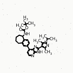 Cc1nn(C(C)C)c(C)c1-c1nc2c(-c3ccc4c(c3)CCCCC4NC(=O)OC(C)(C)C)ccnc2[nH]1